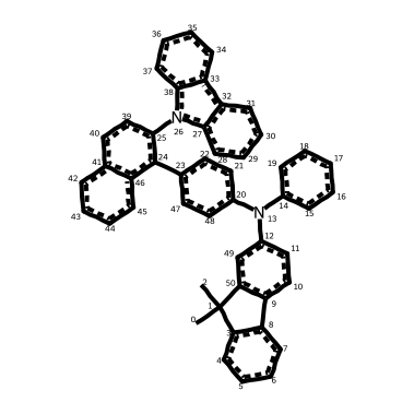 CC1(C)c2ccccc2-c2ccc(N(c3ccccc3)c3ccc(-c4c(-n5c6ccccc6c6ccccc65)ccc5ccccc45)cc3)cc21